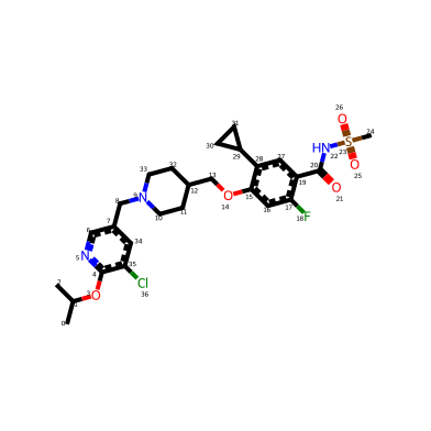 CC(C)Oc1ncc(CN2CCC(COc3cc(F)c(C(=O)NS(C)(=O)=O)cc3C3CC3)CC2)cc1Cl